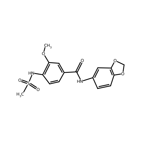 COc1cc(C(=O)Nc2ccc3c(c2)OCO3)ccc1NS(C)(=O)=O